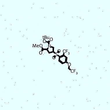 COC(=O)C1CC(S(=O)(=O)c2ccc(OCC(F)(F)F)cc2C(F)(F)F)CN1C(=O)OC(C)(C)C